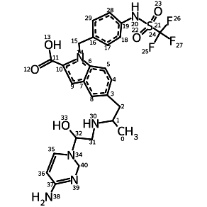 CC(Cc1ccc2c(c1)cc(C(=O)O)n2Cc1ccc(NS(=O)(=O)C(F)(F)F)cc1)NCC(O)N1C=CC(N)=NC1